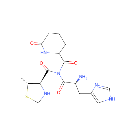 C[C@H]1SCN[C@@H]1C(=O)N(C(=O)C1CCCC(=O)N1)C(=O)[C@@H](N)Cc1c[nH]cn1